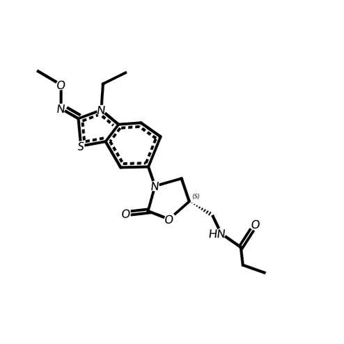 CCC(=O)NC[C@H]1CN(c2ccc3c(c2)sc(=NOC)n3CC)C(=O)O1